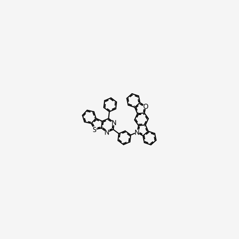 c1ccc(-c2nc(-c3cccc(-n4c5ccccc5c5cc6oc7ccccc7c6cc54)c3)nc3sc4ccccc4c23)cc1